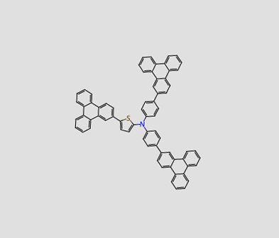 c1ccc2c(c1)c1ccccc1c1cc(-c3ccc(N(c4ccc(-c5ccc6c7ccccc7c7ccccc7c6c5)cc4)c4ccc(-c5ccc6c7ccccc7c7ccccc7c6c5)s4)cc3)ccc21